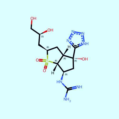 N=C(N)N[C@@H]1C[C@](O)(c2nnn[nH]2)[C@H]2C[C@H](C[C@H](O)CO)S(=O)(=O)[C@@H]12